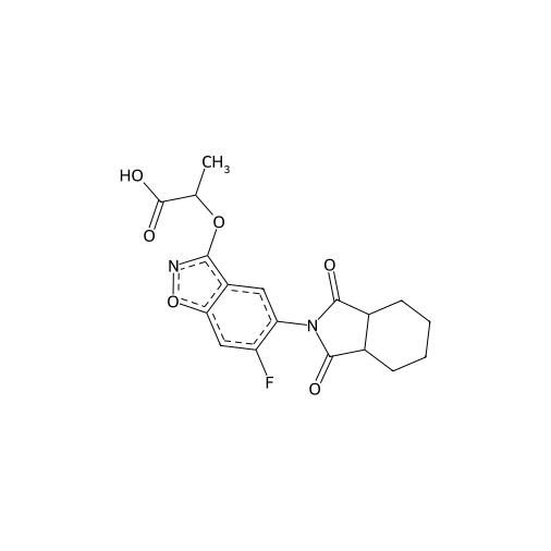 CC(Oc1noc2cc(F)c(N3C(=O)C4CCCCC4C3=O)cc12)C(=O)O